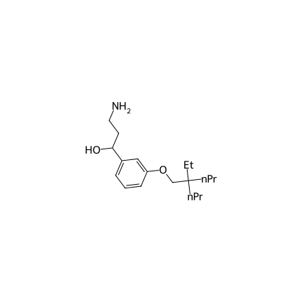 CCCC(CC)(CCC)COc1cccc(C(O)CCN)c1